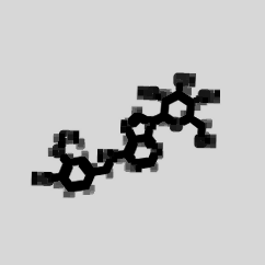 COc1cc(CNc2ncnc3c2ncn3C2O[C@H](CO)[C@@H](O)[C@H](O)[C@H]2O)ccc1O